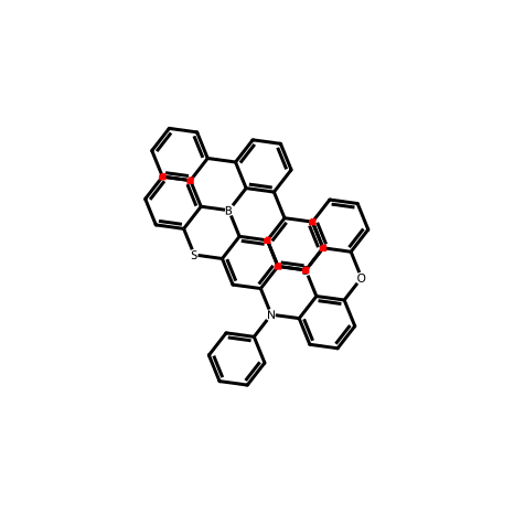 c1ccc(-c2cccc(-c3ccccc3)c2B2c3ccccc3Sc3cc4c(cc32)B2c3ccccc3Oc3cccc(c32)N4c2ccccc2)cc1